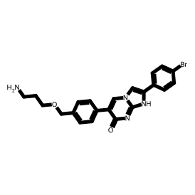 NCCCOCc1ccc(-c2cn3cc(-c4ccc(Br)cc4)[nH]c3nc2=O)cc1